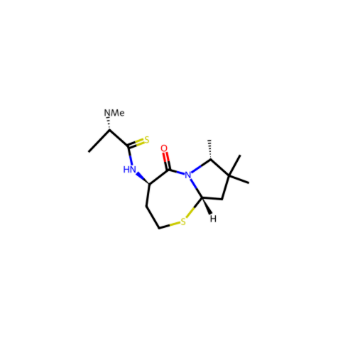 CN[C@@H](C)C(=S)N[C@@H]1CCS[C@H]2CC(C)(C)[C@@H](C)N2C1=O